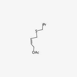 CC(=O)OC/C=C\CSCC(C)C